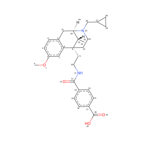 COc1ccc2c(c1)[C@]1(CCNC(=O)c3ccc(C(=O)O)cc3)CCN(CC3CC3)[C@H](C2)[C@@H]1C